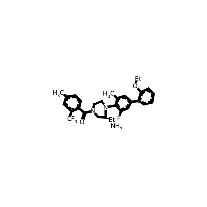 CCOc1ccccc1-c1cc(C)c(N2CCN(C(=O)c3ccc(C)cc3C(F)(F)F)C[C@H]2CC)c(F)c1.N